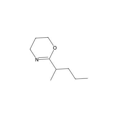 CCCC(C)C1=NCCCO1